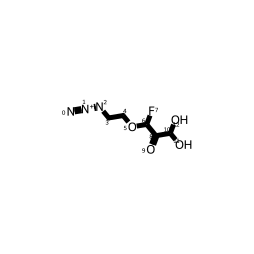 [N-]=[N+]=NCCOC(F)C(=O)C(O)O